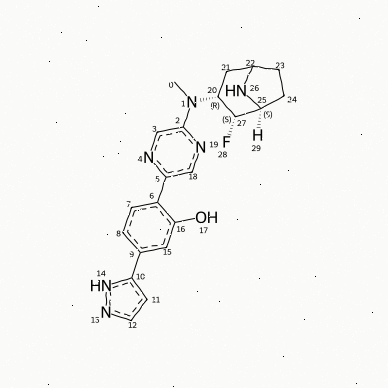 CN(c1cnc(-c2ccc(-c3ccn[nH]3)cc2O)cn1)[C@@H]1CC2CC[C@H](N2)[C@@H]1F